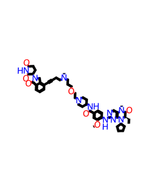 CC[C@@H]1C(=O)N(C)c2cnc(Nc3ccc(C(=O)NC4CCN(CCOCCCN(C)CCC#Cc5cccc6c5CN(C5CCC(=O)NC5=O)C6=O)CC4)cc3OC)nc2N1C1CCCC1